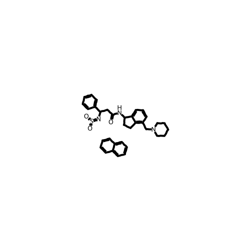 O=C(CC(N=S(=O)=O)c1ccccc1)NC1CCc2c(CN3CCCCC3)cccc21.c1ccc2ccccc2c1